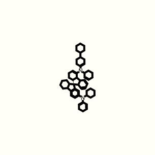 C1#CC2C(C=C1)C1C(N(C3=CCC(C4CCCCC4)CC3)C3C=CCCC3)=CCCC1[C@@]21c2cc(N(C3=CCCC=C3)C3CCCCC3)ccc2C2CCCCC21